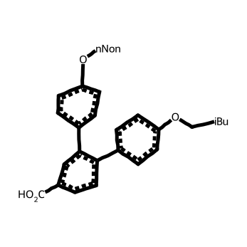 CCCCCCCCCOc1ccc(-c2cc(C(=O)O)ccc2-c2ccc(OCC(C)CC)cc2)cc1